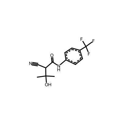 CC(C)(O)C(C#N)C(=O)Nc1ccc(C(F)(F)F)cc1